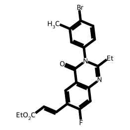 CCOC(=O)C=Cc1cc2c(=O)n(-c3ccc(Br)c(C)c3)c(CC)nc2cc1F